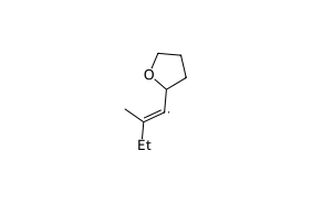 CCC(C)=[C]C1CCCO1